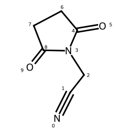 N#CCN1C(=O)CCC1=O